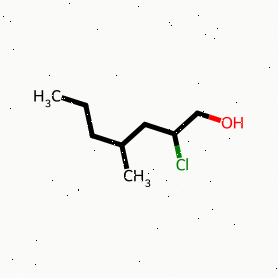 CCCC(C)CC(Cl)CO